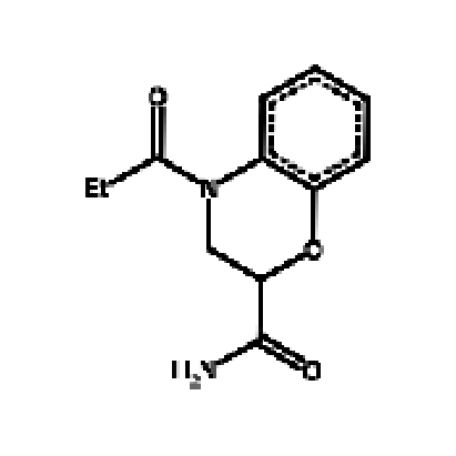 CCC(=O)N1CC(C(N)=O)Oc2ccccc21